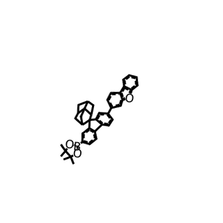 CC1(C)OB(c2ccc3c(c2)C2(c4cc(-c5ccc6c(c5)oc5ccccc56)ccc4-3)C3CC4CC(C3)CC2C4)OC1(C)C